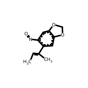 C/C=C(\C)c1cc2c(cc1N=O)OCO2